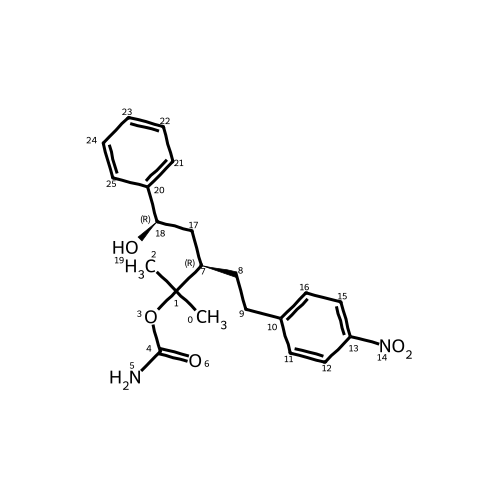 CC(C)(OC(N)=O)[C@H](CCc1ccc([N+](=O)[O-])cc1)C[C@@H](O)c1ccccc1